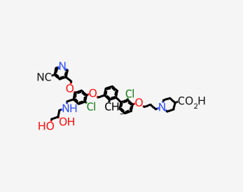 Cc1c(COc2cc(OCc3cncc(C#N)c3)c(CNCC(O)CO)cc2Cl)cccc1-c1cccc(OCCCN2CCC(C(=O)O)CC2)c1Cl